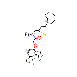 C=C(C)/C=C\C(=C)OCC(=O)N(CC)CC(S)CC/C1=C\CCCCCC1